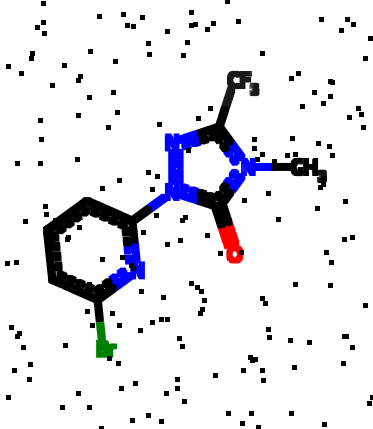 Cn1c(C(F)(F)F)nn(-c2cccc(Br)n2)c1=O